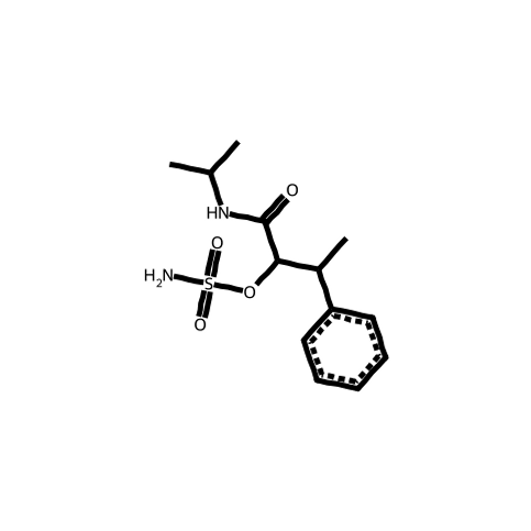 CC(C)NC(=O)C(OS(N)(=O)=O)C(C)c1ccccc1